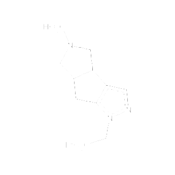 CCOC(=O)Cn1ncc2c1CC1CN(C(=O)O)CC21